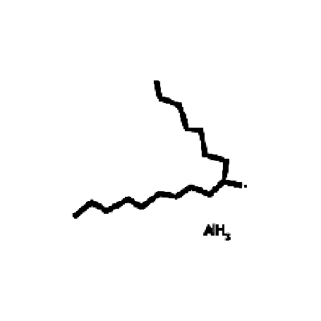 [AlH3].[CH2]C(CCCCCCC)CCCCCCCCC